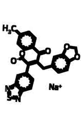 Cc1ccc(C(=O)C(Cc2ccc3c(c2)OCO3)=C(C(=O)[O-])c2ccc3nsnc3c2)cc1.[Na+]